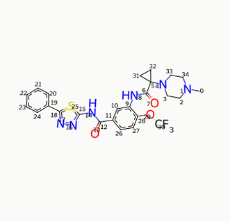 CN1CCN(C2(C(=O)Nc3cc(C(=O)Nc4nnc(-c5ccccc5)s4)ccc3OC(F)(F)F)CC2)CC1